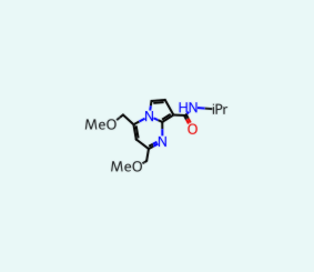 COCc1cc(COC)n2ccc(C(=O)NC(C)C)c2n1